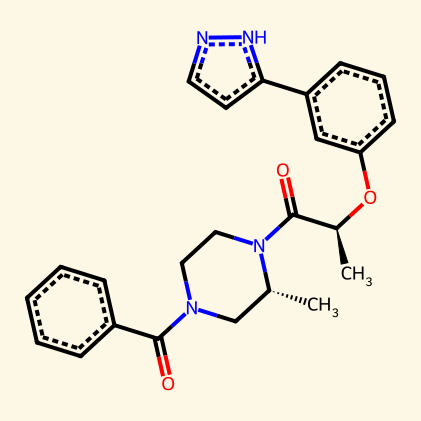 C[C@H](Oc1cccc(-c2ccn[nH]2)c1)C(=O)N1CCN(C(=O)c2ccccc2)C[C@H]1C